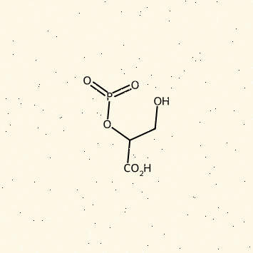 O=C(O)C(CO)OP(=O)=O